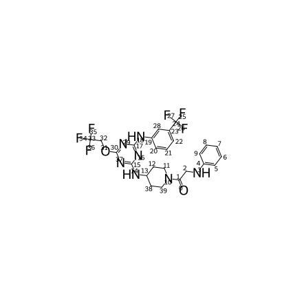 O=C(CNc1ccccc1)N1CCC(Nc2nc(Nc3cccc(C(F)(F)F)c3)nc(OCC(F)(F)F)n2)CC1